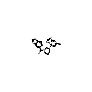 Cc1cc([C@@H]2CN(C(=O)c3ccc4ncsc4c3)CC[C@H]2C)n2ncnc2n1